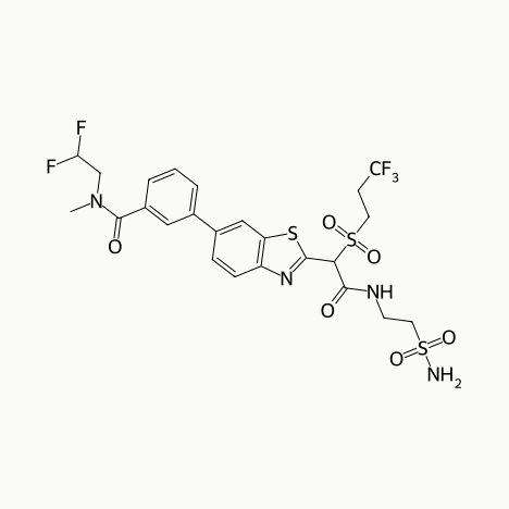 CN(CC(F)F)C(=O)c1cccc(-c2ccc3nc(C(C(=O)NCCS(N)(=O)=O)S(=O)(=O)CCC(F)(F)F)sc3c2)c1